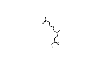 CCC(=O)CCC(C)SSCCC(C)=O